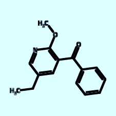 CCc1cnc(OC)c(C(=O)c2ccccc2)c1